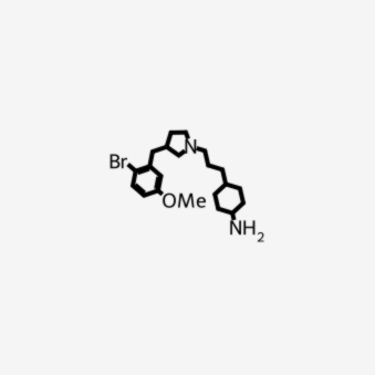 COc1ccc(Br)c(CC2CCN(CCCC3CCC(N)CC3)C2)c1